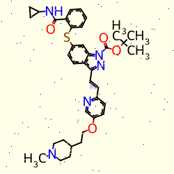 CN1CCC(CCOc2ccc(/C=C/c3nn(C(=O)OC(C)(C)C)c4cc(Sc5ccccc5C(=O)NC5CC5)ccc34)nc2)CC1